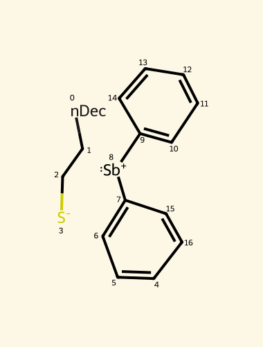 CCCCCCCCCCCC[S-].c1cc[c]([Sb+][c]2ccccc2)cc1